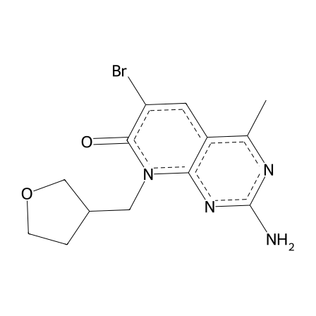 Cc1nc(N)nc2c1cc(Br)c(=O)n2CC1CCOC1